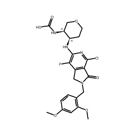 COc1ccc(CN2Cc3c(F)c(N[C@@H]4CCOC[C@@H]4NC(=O)O)nc(Cl)c3C2=O)c(OC)c1